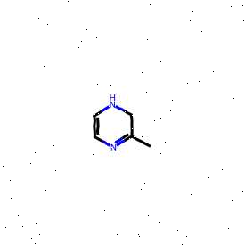 CC1=NC=CNC1